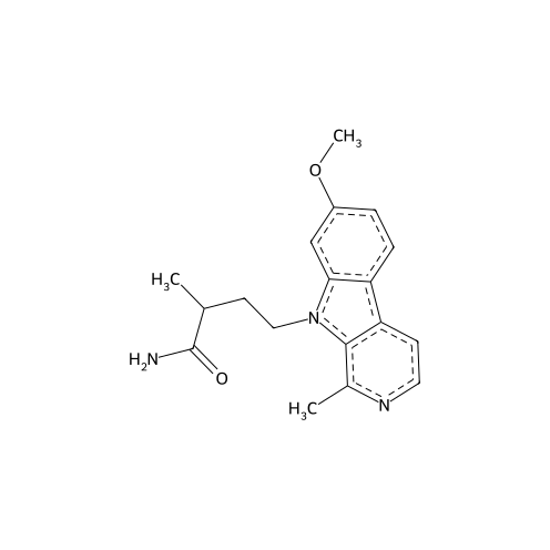 COc1ccc2c3ccnc(C)c3n(CCC(C)C(N)=O)c2c1